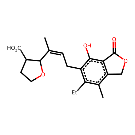 CCc1c(C)c2c(c(O)c1C/C=C(/C)C1OCCC1C(=O)O)C(=O)OC2